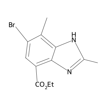 CCOC(=O)c1cc(Br)c(C)c2[nH]c(C)nc12